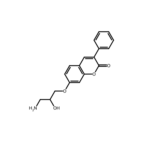 NCC(O)COc1ccc2cc(-c3ccccc3)c(=O)oc2c1